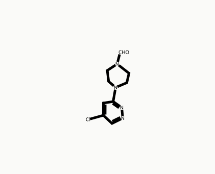 O=CN1CCN(c2cc(Cl)cnn2)CC1